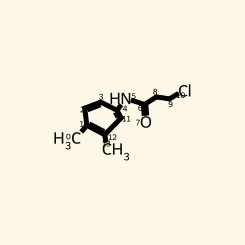 Cc1ccc(NC(=O)CCCl)cc1C